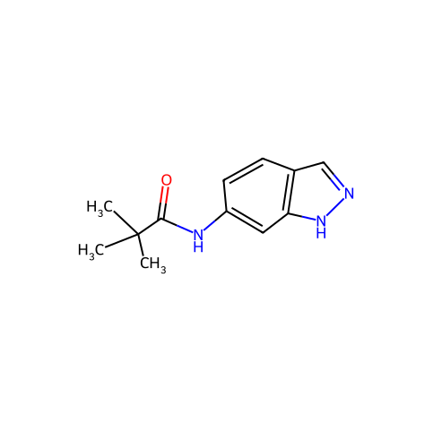 CC(C)(C)C(=O)Nc1ccc2cn[nH]c2c1